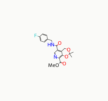 COC(=O)c1ncc(C(=O)NCc2ccc(F)cc2)c2c1OC(C)(C)OC2